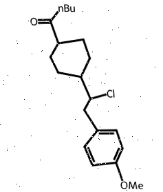 CCCCC(=O)C1CCC(C(Cl)Cc2ccc(OC)cc2)CC1